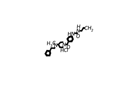 C=CCNC(=O)Nc1ccc(C(=O)N2CCC(N(C)CCc3ccccc3)CC2)cc1.Cl